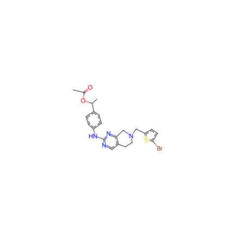 CC(=O)OC(C)c1ccc(Nc2ncc3c(n2)CN(Cc2ccc(Br)s2)CC3)cc1